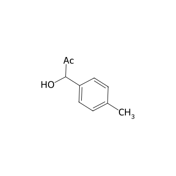 CC(=O)C(O)c1ccc(C)cc1